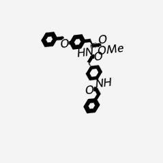 COC(=O)[C@H](Cc1ccc(OCc2ccccc2)cc1)NC(=O)C[C@H]1CC[C@H](NC(=O)Cc2ccccc2)CC1